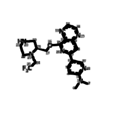 CN(C)c1ccc(-c2cc3nccnc3c(OC[C@@H]3CNCCN3CC(F)(F)F)n2)cn1